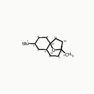 CC12CCC3CC(C(C)(C)C)CCC3(CC1)O2